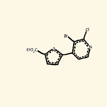 CCOC(=O)c1ccc(-c2ccnc(Cl)c2Br)s1